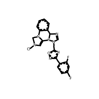 Fc1ccc(-c2noc(N3C=NC4c5ccccc5N5CN(Cl)C=C5N43)n2)c(F)c1